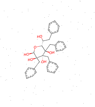 OC(Cc1ccccc1)[C@H]1O[C@H](O)[C@@](O)(Cc2ccccc2)[C@](O)(Cc2ccccc2)[C@@]1(O)Cc1ccccc1